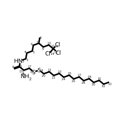 C=C(NCCCCC(C)CCC(Cl)(Cl)Cl)[C@@H](N)CSSCCCCCCCCCCCCCC